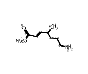 COC(=O)C=CC(C)CCCN